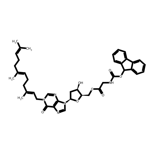 CC(C)=CCC/C(C)=C/CC/C(C)=C/Cn1cnc2c(ncn2[C@H]2C[C@@H](O)[C@@H](COC(=O)CNC(=O)OC3c4ccccc4-c4ccccc43)O2)c1=O